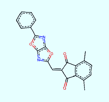 Cc1ccc(C)c2c1C(=O)C(=Cc1nc3oc(-c4ccccc4)nc3o1)C2=O